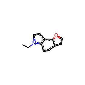 CCn1ccc2c3occc3ccc21